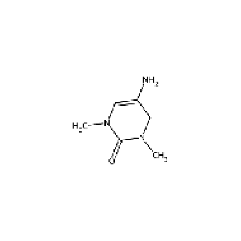 CN1C=C(N)CN(C)C1=O